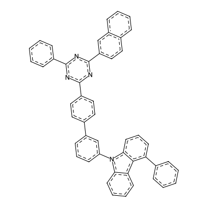 c1ccc(-c2nc(-c3ccc(-c4cccc(-n5c6ccccc6c6c(-c7ccccc7)cccc65)c4)cc3)nc(-c3ccc4ccccc4c3)n2)cc1